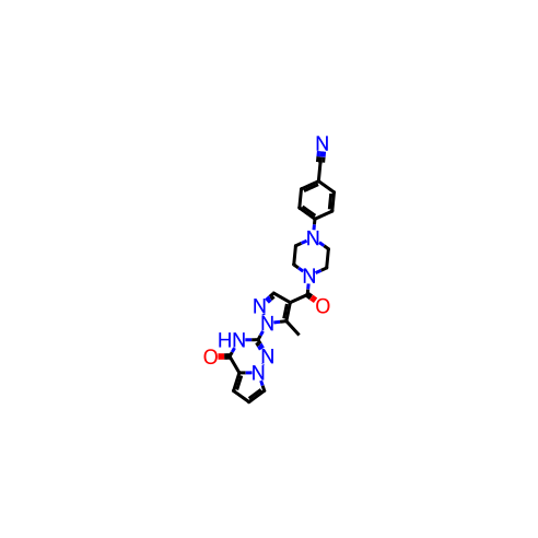 Cc1c(C(=O)N2CCN(c3ccc(C#N)cc3)CC2)cnn1-c1nn2cccc2c(=O)[nH]1